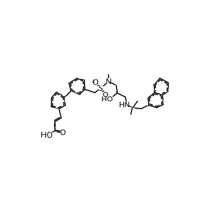 CN(CC(O)CNC(C)(C)Cc1ccc2ccccc2c1)S(=O)(=O)Cc1cccc(-c2cccc(C=CC(=O)O)c2)c1